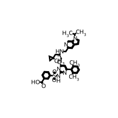 Cc1cccc(C)c1-c1cc(OC[C@@H](CC2(C)CC2)NCc2cc3ccn(C(C)C)c3cn2)nc(NS(=O)(=O)c2cccc(C(=O)O)c2)n1